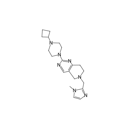 Cn1ccnc1CN1CCc2nc(N3CCN(C4CCC4)CC3)ncc2C1